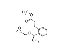 COC(=O)CCc1ccccc1[C@@H](C)OC[C@H]1CO1